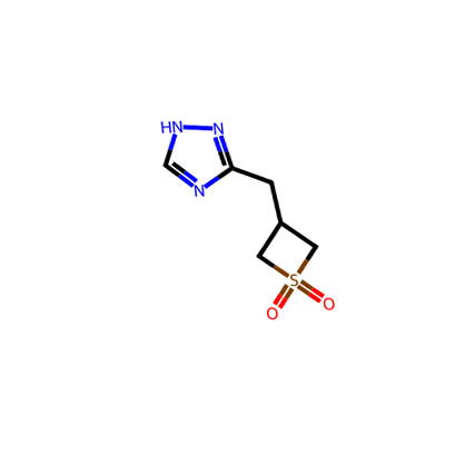 O=S1(=O)CC(Cc2nc[nH]n2)C1